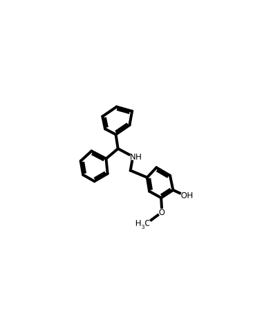 COc1cc(CNC(c2ccccc2)c2ccccc2)ccc1O